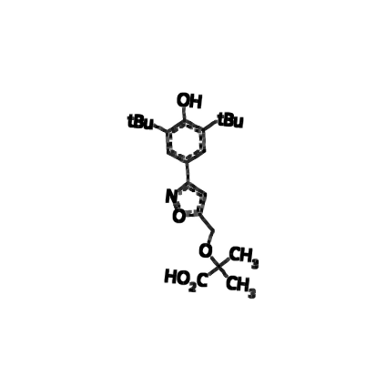 CC(C)(OCc1cc(-c2cc(C(C)(C)C)c(O)c(C(C)(C)C)c2)no1)C(=O)O